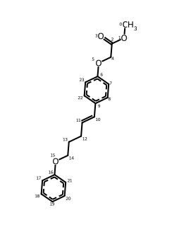 COC(=O)COc1ccc(C=CCCCOc2ccccc2)cc1